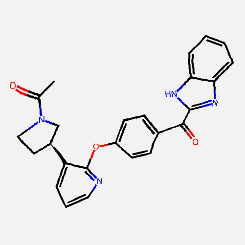 CC(=O)N1CC[C@H](c2cccnc2Oc2ccc(C(=O)c3nc4ccccc4[nH]3)cc2)C1